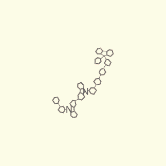 c1ccc(-c2cccc(-n3c4ccccc4c4cc(-c5ccc6c(c5)c5ccccc5n6-c5cccc(-c6ccc(-c7ccc(-c8cccc(C9(c%10ccccc%10)c%10ccccc%10-c%10ccccc%109)c8)cc7)cc6)c5)ccc43)c2)cc1